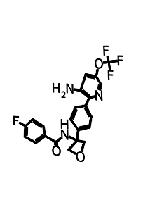 Nc1cc(OC(F)(F)F)cnc1-c1ccc(C2(NC(=O)c3ccc(F)cc3)COC2)cc1